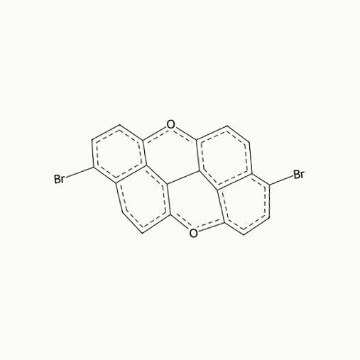 Brc1ccc2oc3ccc4c(Br)ccc5oc6ccc1c2c6-c3c54